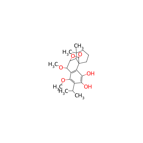 COc1c(C(C)C)c(O)c(O)c2c1C(OC)C1OC(=O)C23CCCC(C)(C)C13